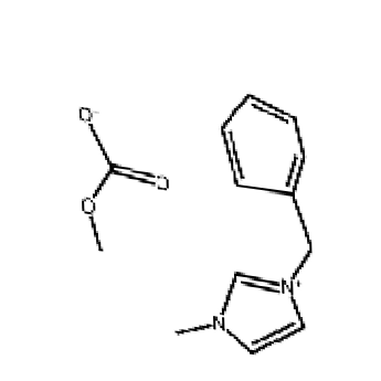 COC(=O)[O-].Cn1cc[n+](Cc2ccccc2)c1